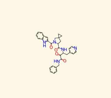 O=C(NCc1ccccc1)C(=O)C(Cc1ccncc1)NC(=O)C1CC2(CC2)CN1C(=O)c1cc2ccccc2[nH]1